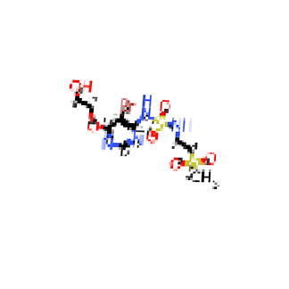 CS(=O)(=O)CCNS(=O)(=O)Nc1ncnc(OCCO)c1Br